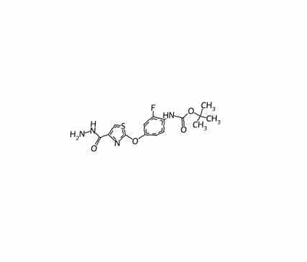 CC(C)(C)OC(=O)Nc1ccc(Oc2nc(C(=O)NN)cs2)cc1F